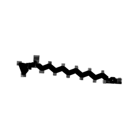 CCCCCCCCCCCCCCCCCCNN1CC1